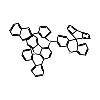 c1ccc(-c2ccccc2-c2ccc(N(c3cccc(-c4ccc5ccccc5c4)c3)c3ccc4c(c3)Oc3ccccc3C43c4ccccc4-c4ccccc43)c3c2oc2ccccc23)cc1